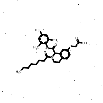 CCCCCCCC(=O)N1CCc2ccc(OCC(=O)O)cc2C1C(=O)Nc1c(C)cc(C)cc1C